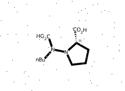 CCCCN(C(=O)O)N1CCC[C@H]1C(=O)O